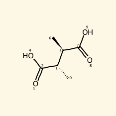 C[C@H](C(=O)O)[C@@H](C)C(=O)O